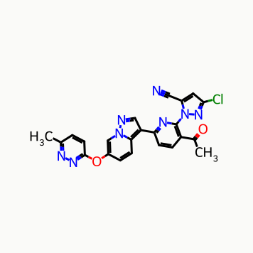 CC(=O)c1ccc(-c2cnn3cc(Oc4ccc(C)nn4)ccc23)nc1-n1nc(Cl)cc1C#N